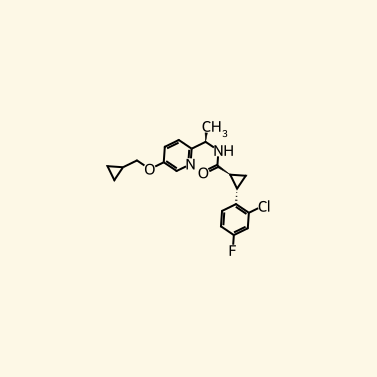 C[C@@H](NC(=O)[C@H]1C[C@@H]1c1ccc(F)cc1Cl)c1ccc(OCC2CC2)cn1